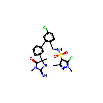 Cc1nn(C)c(Cl)c1S(=O)(=O)NCc1ccc(Cl)cc1-c1cccc(C2(C)NC(=N)N(C)C2=O)c1